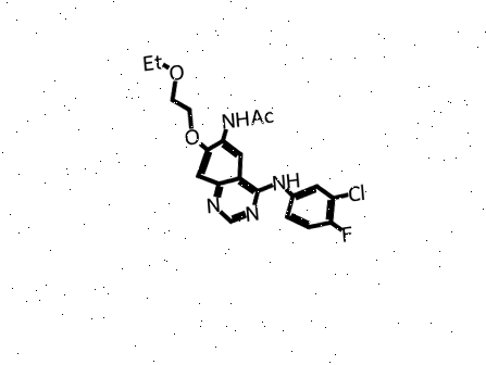 CCOCCOc1cc2ncnc(Nc3ccc(F)c(Cl)c3)c2cc1NC(C)=O